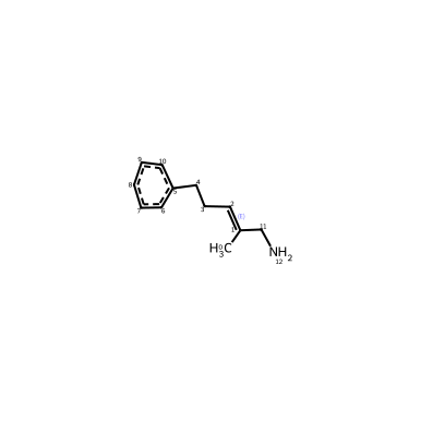 C/C(=C\CCc1ccccc1)CN